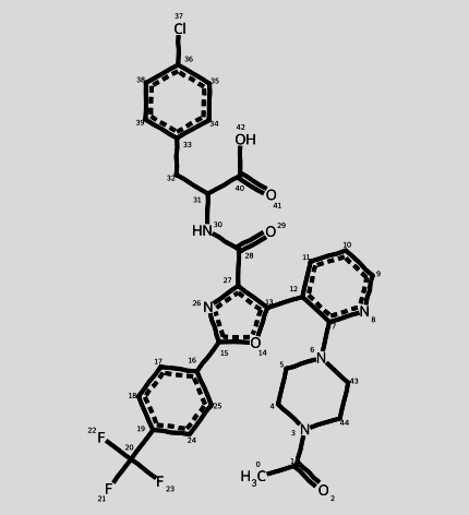 CC(=O)N1CCN(c2ncccc2-c2oc(-c3ccc(C(F)(F)F)cc3)nc2C(=O)NC(Cc2ccc(Cl)cc2)C(=O)O)CC1